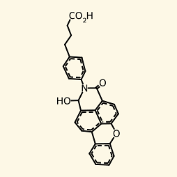 O=C(O)CCCc1ccc(N2C(=O)c3ccc4c5c(ccc(c35)C2O)-c2ccccc2O4)cc1